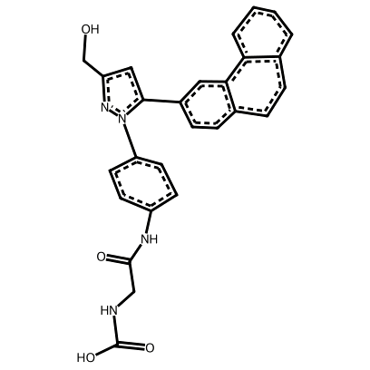 O=C(O)NCC(=O)Nc1ccc(-n2nc(CO)cc2-c2ccc3ccc4ccccc4c3c2)cc1